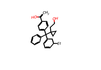 C=C(O)c1ccc(C(C2=CC=CC(CC)C2)(c2ccccc2)C2(CCO)CC2)cc1